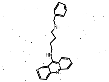 c1ccc(CNCCCCNc2c3ccccc3nc3ccccc23)cc1